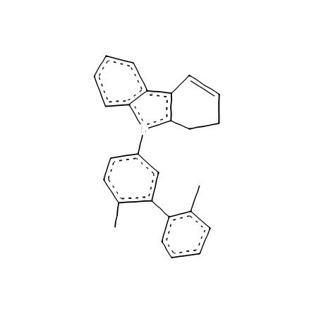 Cc1ccccc1-c1cc(-n2c3c(c4ccccc42)C=CCC3)ccc1C